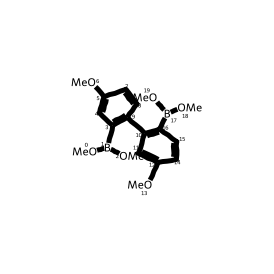 COB(OC)c1cc(OC)ccc1-c1cc(OC)ccc1B(OC)OC